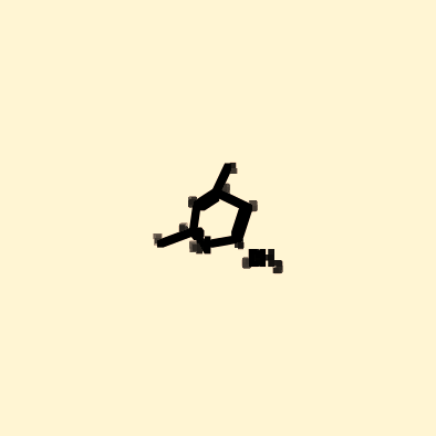 B.Cc1ccnc(C)c1